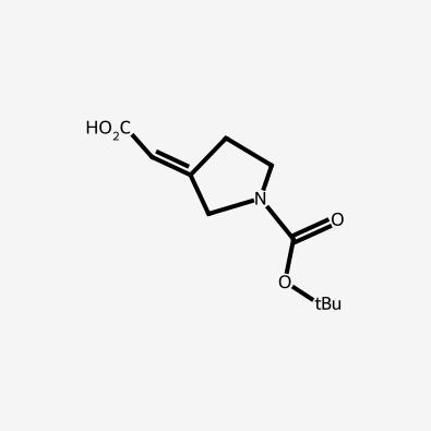 CC(C)(C)OC(=O)N1CC/C(=C\C(=O)O)C1